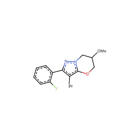 COC1COc2c(C(C)C)c(-c3ccccc3F)nn2C1